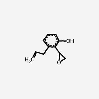 C=CCc1cccc(O)c1C1CO1